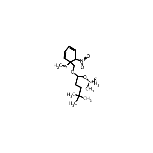 CSC1(COC(CCC(C)(C)C)O[SiH](C)C)C=CC=CC1[N+](=O)[O-]